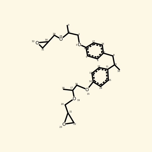 CC(COc1ccc(CC(C)c2ccc(OCC(C)OCC3CO3)cc2)cc1)OCC1CO1